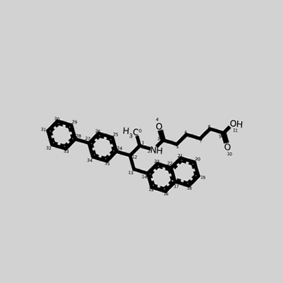 CC(NC(=O)CCCCC(=O)O)C(Cc1ccc2ccccc2c1)c1ccc(-c2ccccc2)cc1